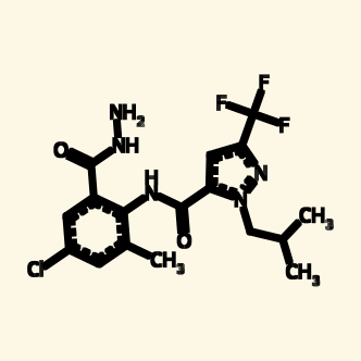 Cc1cc(Cl)cc(C(=O)NN)c1NC(=O)c1cc(C(F)(F)F)nn1CC(C)C